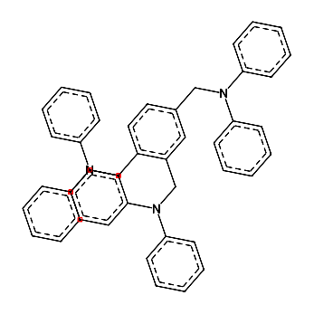 c1ccc(N(Cc2ccc(CN(c3ccccc3)c3ccccc3)c(CN(c3ccccc3)c3ccccc3)c2)c2ccccc2)cc1